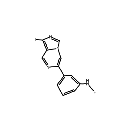 FNc1cccc(-c2cn3cnc(I)c3cn2)c1